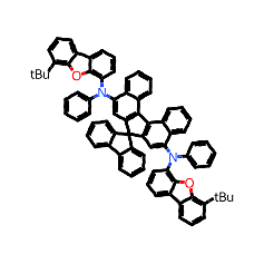 CC(C)(C)c1cccc2c1oc1c(N(c3ccccc3)c3cc4c(c5ccccc35)-c3c(cc(N(c5ccccc5)c5cccc6c5oc5c(C(C)(C)C)cccc56)c5ccccc35)C43c4ccccc4-c4ccccc43)cccc12